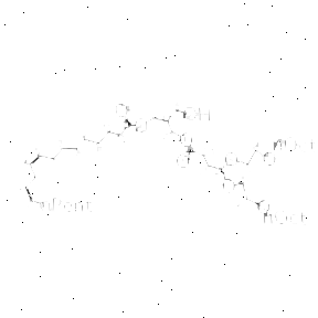 CCCCC/C=C\C/C=C\CCCCCCCC(=O)OCC(CO)COC(=O)CCC(OCCOCCCCCCCC)OCCOCCCCCCCC